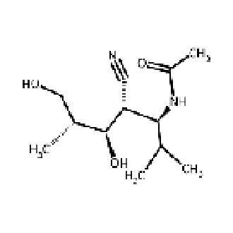 CC(=O)N[C@@H](C(C)C)[C@@H](C#N)[C@@H](O)[C@H](C)CO